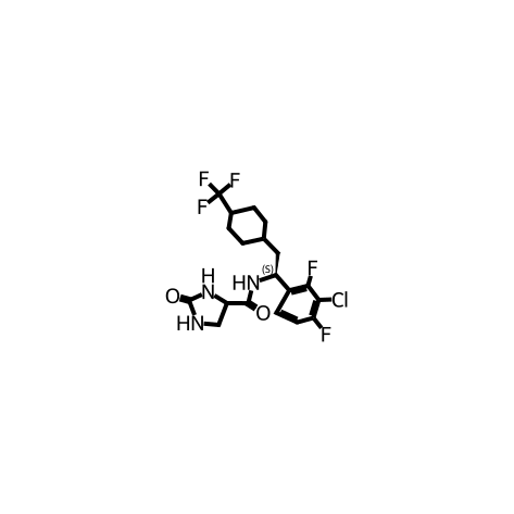 O=C1NCC(C(=O)N[C@@H](CC2CCC(C(F)(F)F)CC2)c2ccc(F)c(Cl)c2F)N1